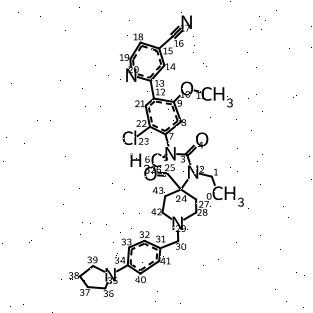 CCN(C(=O)N(C)c1cc(OC)c(-c2cc(C#N)ccn2)cc1Cl)C1(C=O)CCN(Cc2ccc(N3CCCC3)cc2)CC1